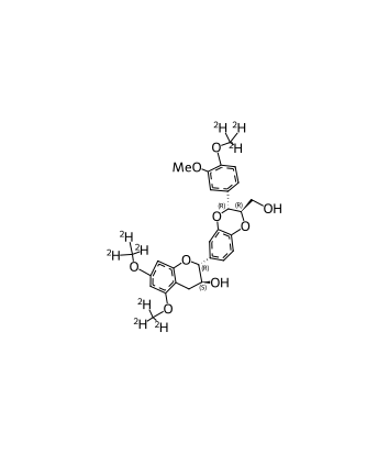 [2H]C([2H])([2H])Oc1cc2c(c(OC([2H])([2H])[2H])c1)C[C@H](O)[C@@H](c1ccc3c(c1)O[C@H](c1ccc(OC([2H])([2H])[2H])c(OC)c1)[C@@H](CO)O3)O2